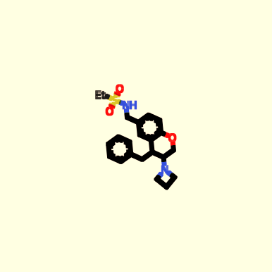 CCS(=O)(=O)NCc1ccc2c(c1)C(Cc1ccccc1)C(N1CCC1)CO2